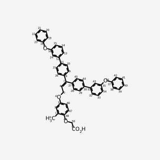 Cc1cc(OCC=C(c2ccc(-c3cccc(Oc4ccccc4)c3)cc2)c2ccc(-c3cccc(Oc4ccccc4)c3)cc2)ccc1OCC(=O)O